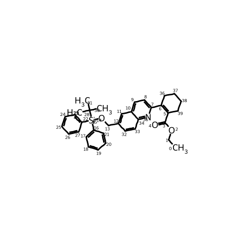 CCOC(=O)C1=C(c2ccc3cc(CO[Si](c4ccccc4)(c4ccccc4)C(C)(C)C)ccc3n2)CCCC1